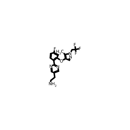 Cc1c(Oc2cc(F)ccc2-c2ncc(CCN)cn2)cnn1CC(F)(F)F